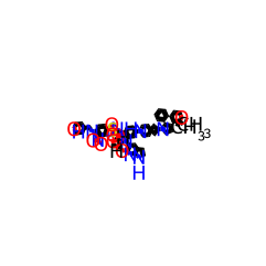 CC1(C)C[C@H](c2ccccc2[C@@H]2CCCN2C2CC3(CCN(c4ccc(C(=O)NS(=O)(=O)c5ccc(NCC6CCOCC6)c([N+](=O)[O-])c5)c(N5c6cc7cc[nH]c7nc6O[C@@H]6COC[C@H]65)c4)CC3)C2)CCO1